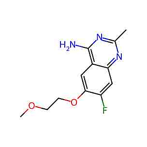 COCCOc1cc2c(N)nc(C)nc2cc1F